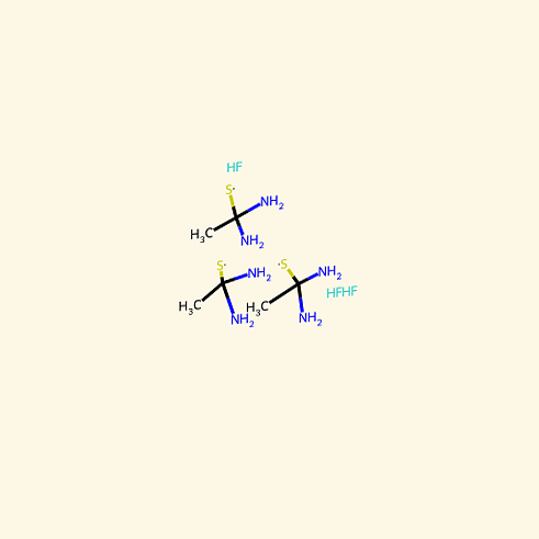 CC(N)(N)[S].CC(N)(N)[S].CC(N)(N)[S].F.F.F